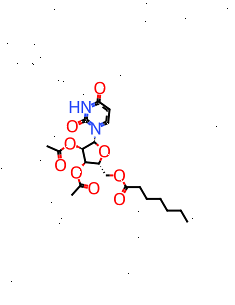 CCCCCCC(=O)OC[C@H]1O[C@@H](n2ccc(=O)[nH]c2=O)[C@H](OC(C)=O)[C@@H]1OC(C)=O